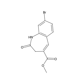 COC(=O)C1=Cc2ccc(Br)cc2NC(=O)C1